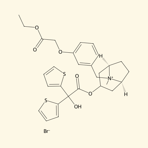 CCOC(=O)COc1cccc(C[N+]2(C)[C@@H]3CC[C@H]2CC(OC(=O)C(O)(c2cccs2)c2cccs2)C3)c1.[Br-]